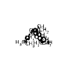 C=C(C)[C@@H]1CC[C@]2(C(=O)NCc3ccc(N(C)C)cc3)CC[C@]3(C)[C@H](CC[C@@H]4[C@@]5(C)CC[C@H](O)C(C)(C)[C@@H]5CC[C@]43C)[C@@H]12